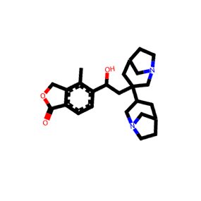 Cc1c(C(O)CC2(C3CC4CCN(C4)C3)CC3CCN(C3)C2)ccc2c1COC2=O